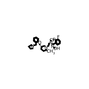 C[C@H]1CC[C@H](COc2ccccc2CN2CCCC2)CN1CCN(C)C(=NO)c1cccc(F)c1F